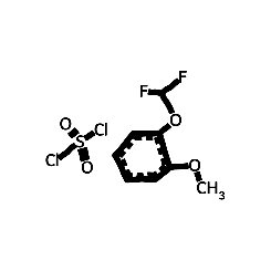 COc1ccccc1OC(F)F.O=S(=O)(Cl)Cl